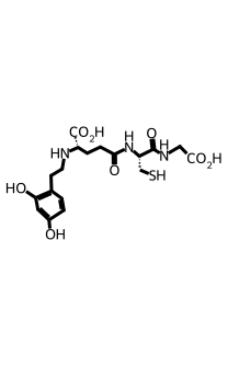 O=C(O)CNC(=O)[C@H](CS)NC(=O)CC[C@H](NCCc1ccc(O)cc1O)C(=O)O